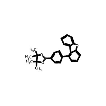 CC1(C)OB(c2ccc(-c3cccc4oc5ccccc5c34)cc2)OC1(C)C